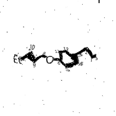 CC=Cc1ccc(OCC=CCC)cc1